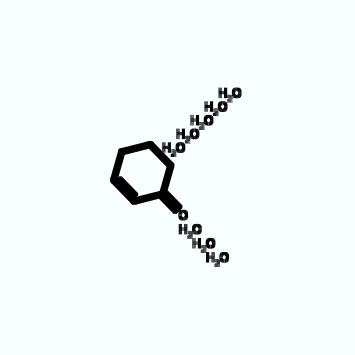 O.O.O.O.O.O.O.O.O=C1C=CCCC1